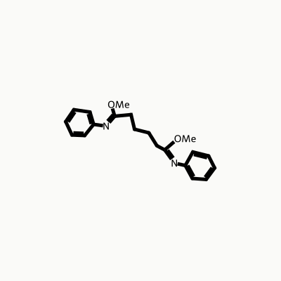 CO/C(CCCC/C(=N/c1ccccc1)OC)=N\c1ccccc1